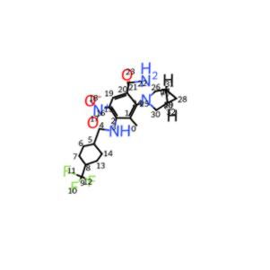 Cc1c(NCC2CCC(C(F)(F)F)CC2)c([N+](=O)[O-])cc(C(N)=O)c1N1C[C@@H]2C[C@H]2C1